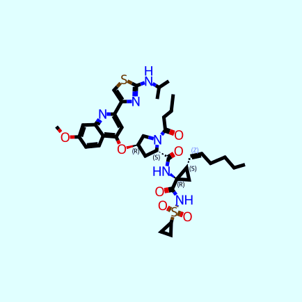 CCCC/C=C\[C@@H]1C[C@]1(NC(=O)[C@@H]1C[C@@H](Oc2cc(-c3csc(NC(C)C)n3)nc3cc(OC)ccc23)CN1C(=O)CCC)C(=O)NS(=O)(=O)C1CC1